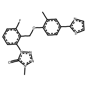 Cc1cc(-c2nccs2)ccc1OCc1c(F)cccc1-n1nnn(C)c1=O